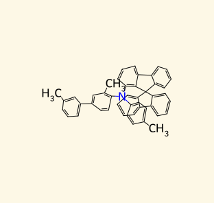 Cc1ccc(N(c2ccc(-c3cccc(C)c3)cc2C)c2cccc3c2C2(c4ccccc4-c4ccccc42)c2ccccc2-3)cc1